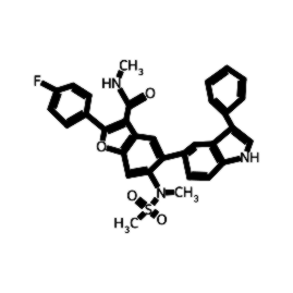 CNC(=O)c1c(-c2ccc(F)cc2)oc2cc(N(C)S(C)(=O)=O)c(-c3ccc4[nH]cc(-c5ccccc5)c4c3)cc12